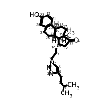 CC(C)CCc1cn(CCC[C@H]2CC(=O)[C@@]3(C)CC[C@@H]4c5ccc(O)cc5CC[C@H]4[C@H]23)nn1